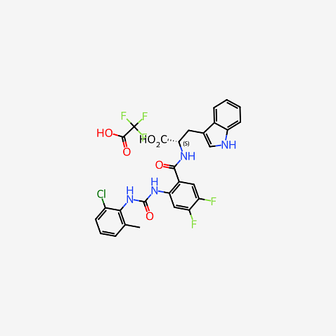 Cc1cccc(Cl)c1NC(=O)Nc1cc(F)c(F)cc1C(=O)N[C@@H](Cc1c[nH]c2ccccc12)C(=O)O.O=C(O)C(F)(F)F